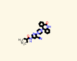 CCC(CC)C(=O)Nc1cnc(N2CCN(C3c4ccccc4NC(=O)c4ccccc43)CC2)c(C#N)c1